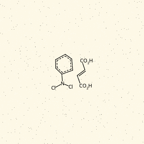 ClN(Cl)c1ccccc1.O=C(O)C=CC(=O)O